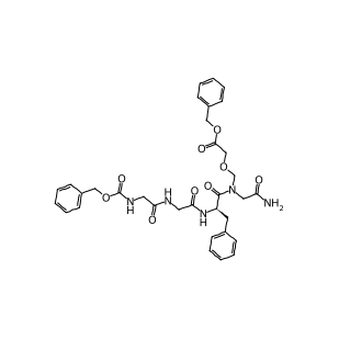 NC(=O)CN(COCC(=O)OCc1ccccc1)C(=O)[C@@H](Cc1ccccc1)NC(=O)CNC(=O)CNC(=O)OCc1ccccc1